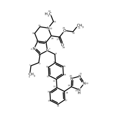 CCCc1nc2c(n1Cc1ccc(-c3ccccc3-c3nnn[nH]3)cc1)C(C(=O)OCC)N(CC)CC2